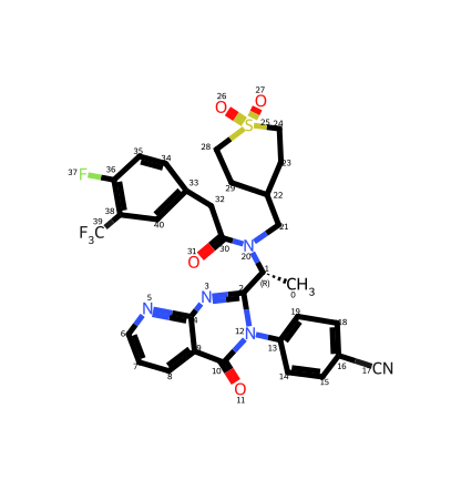 C[C@H](c1nc2ncccc2c(=O)n1-c1ccc(C#N)cc1)N(CC1CCS(=O)(=O)CC1)C(=O)Cc1ccc(F)c(C(F)(F)F)c1